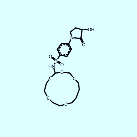 O=C1[C@H](O)CCN1c1ccc(S(=O)(=O)NC2CCCCCCCCCCCCCC2)cc1